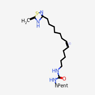 C=C1NC(CCCCCC/C=C\CCCCNC(=O)NCCCCC)=NS1